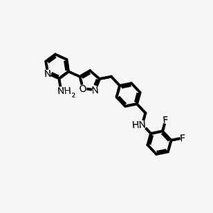 Nc1ncccc1-c1cc(Cc2ccc(CNc3cccc(F)c3F)cc2)no1